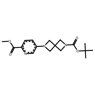 COC(=O)c1ccc(N2CC3(CN(C(=O)OC(C)(C)C)C3)C2)cn1